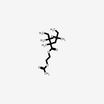 CCC(C)(C)CC(C)(C(=O)OCCOC(C)=O)C(C)(C)CC